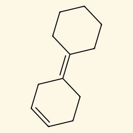 C1=CCC(=C2CCCCC2)CC1